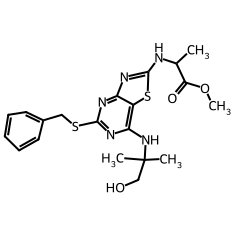 COC(=O)C(C)Nc1nc2nc(SCc3ccccc3)nc(NC(C)(C)CO)c2s1